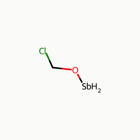 ClC[O][SbH2]